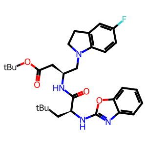 CC(C)(C)C[C@H](Nc1nc2ccccc2o1)C(=O)N[C@@H](CC(=O)OC(C)(C)C)CN1CCc2cc(F)ccc21